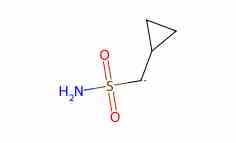 NS(=O)(=O)[CH]C1CC1